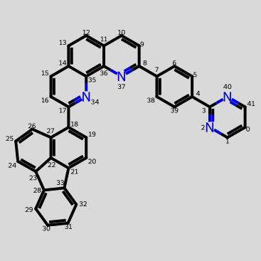 c1cnc(-c2ccc(-c3ccc4ccc5ccc(-c6ccc7c8c(cccc68)-c6ccccc6-7)nc5c4n3)cc2)nc1